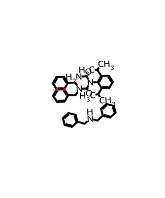 CC(C)c1cccc(C(C)C)c1N(C(N)=O)C(=O)N(Cc1ccccc1)Cc1ccccc1.c1ccc(CNCc2ccccc2)cc1